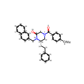 COc1ccc(C(=O)N2CC(=O)N(Cc3ccc4ccccc4c3)[C@@H](CCc3ccccc3)C2)cc1